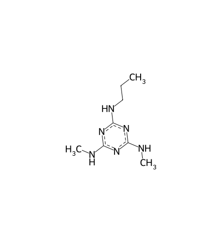 CCCNc1nc(NC)nc(NC)n1